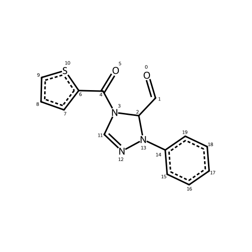 O=CC1N(C(=O)c2cccs2)C=NN1c1ccccc1